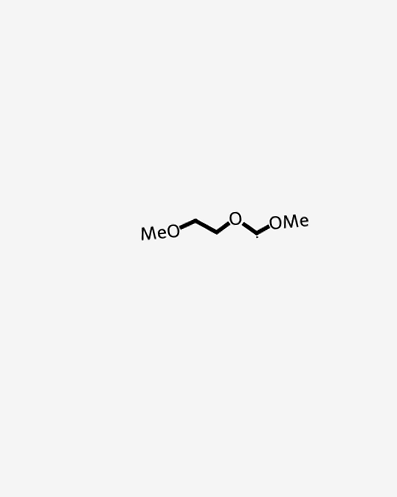 CO[CH]OCCOC